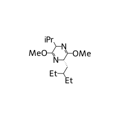 CCC(CC)C[C@@H]1N=C(OC)C(C(C)C)N=C1OC